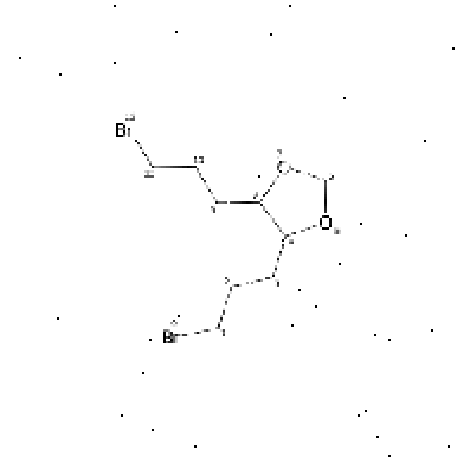 BrCCCC1OCOC1CCCBr